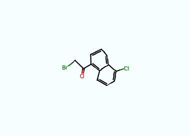 O=C(CBr)c1cccc2c(Cl)cccc12